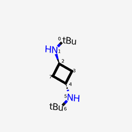 CC(C)(C)N[C@H]1C[C@H](NC(C)(C)C)C1